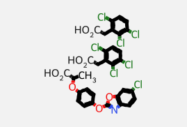 CC(Oc1ccc(Oc2nc3ccc(Cl)cc3o2)cc1)C(=O)O.O=C(O)Cc1c(Cl)ccc(Cl)c1Cl.O=C(O)Cc1c(Cl)ccc(Cl)c1Cl